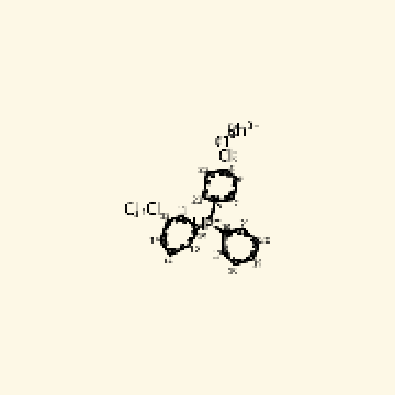 [Cl-].[Cl-].[Cl-].[Cl-].[Rh+3].c1ccc([PH+](c2ccccc2)c2ccccc2)cc1